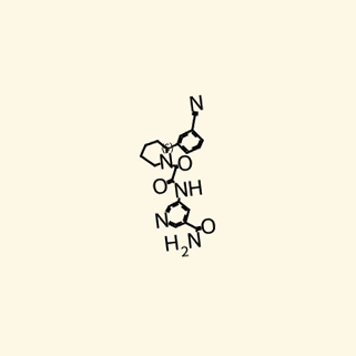 N#Cc1cccc([C@@H]2CCCCN2C(=O)C(=O)Nc2cncc(C(N)=O)c2)c1